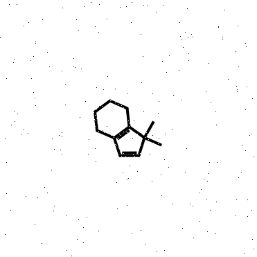 CC1(C)C=CC2=C1CCCC2